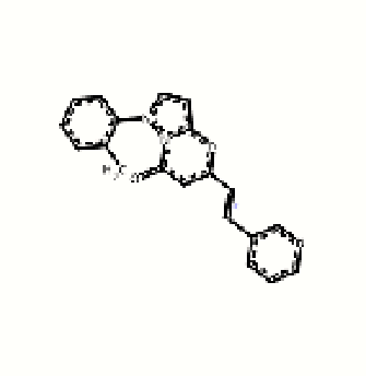 Cc1ccccc1-n1ccc2nc(/C=C/c3cccnc3)cc(=O)n21